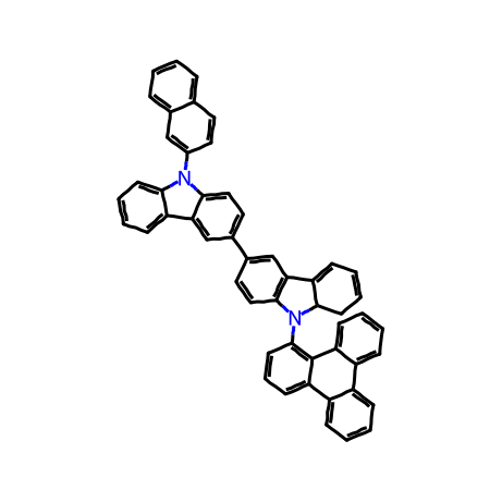 C1=CCC2C(=C1)c1cc(-c3ccc4c(c3)c3ccccc3n4-c3ccc4ccccc4c3)ccc1N2c1cccc2c3ccccc3c3ccccc3c12